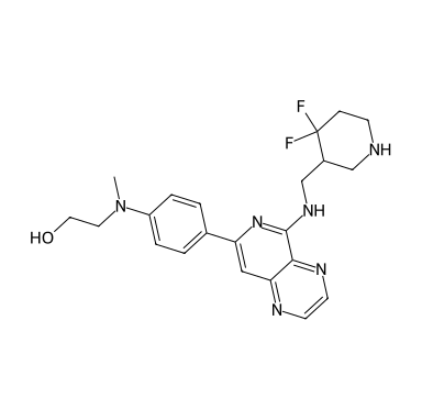 CN(CCO)c1ccc(-c2cc3nccnc3c(NCC3CNCCC3(F)F)n2)cc1